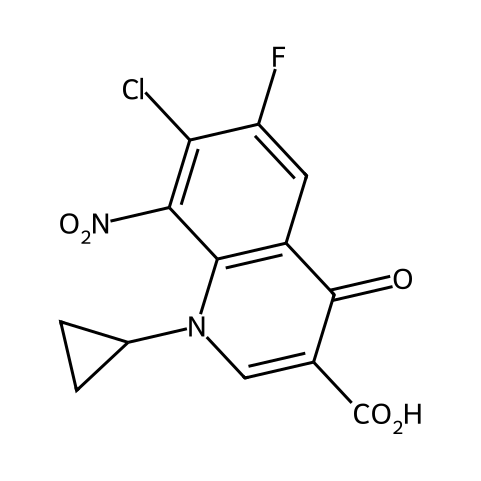 O=C(O)c1cn(C2CC2)c2c([N+](=O)[O-])c(Cl)c(F)cc2c1=O